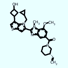 C=C[C@@H]1CCCN(C(=O)c2cc(OC)c3c(c2)nc(-c2cc4scc(C5CC(O)C5)c4n2CC2CC2)n3C)C1